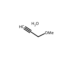 C#CCOC.O